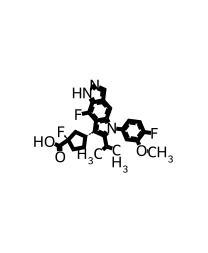 COc1cc(-n2c(C(C)C)c([C@@H]3CC[C@@](F)(C(=O)O)C3)c3c(F)c4[nH]ncc4cc32)ccc1F